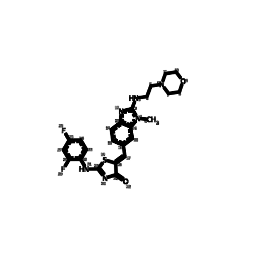 Cn1c(NCCN2CCOCC2)nc2ccc(/C=C3\SC(Nc4ccc(F)cc4F)=NC3=O)cc21